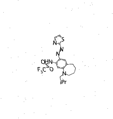 CC(C)CN1CCCCc2cc(N=Nc3nccs3)c(NS(=O)(=O)C(F)(F)F)cc21